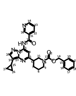 O=C(Nc1cc(C2CCCN(C(=O)OCc3ccccc3)C2)nc2c(C3CC3)cnn12)c1cccnc1